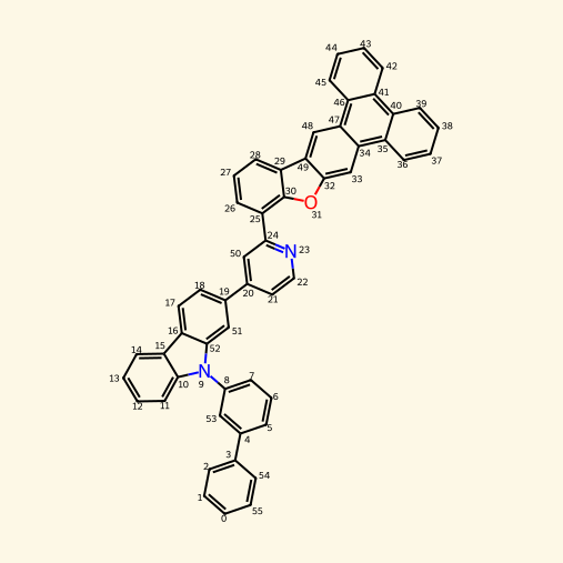 c1ccc(-c2cccc(-n3c4ccccc4c4ccc(-c5ccnc(-c6cccc7c6oc6cc8c9ccccc9c9ccccc9c8cc67)c5)cc43)c2)cc1